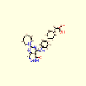 O=c1[nH]ncc2nc(N3CCCCCC3)nc(Nc3ccc([C@H]4CC[C@@H](CC(O)O)CC4)cc3)c12